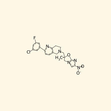 C[C@]1(CN2CCc3nc(-c4cc(F)cc(Cl)c4)ccc3C2)Cn2cc([N+](=O)[O-])nc2O1